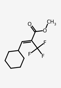 COC(=O)C(=CC1CCCCC1)C(F)(F)F